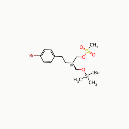 CC(C)(C)[Si](C)(C)OC[C@@H](CCc1ccc(Br)cc1)COS(C)(=O)=O